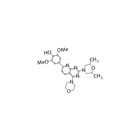 COc1cc(-c2ccc3c(N4CCOCC4)nc(N4CC(C)OC(C)C4)nc3n2)cc(OC)c1O